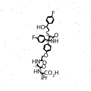 CC(C)[C@@H](NC(=O)[C@H](C)NC(=O)COc1ccc([C@]2(c3ccc(F)cc3)NC(=O)[C@@H]2SCC(O)c2ccc(F)cc2)cc1)C(=O)O